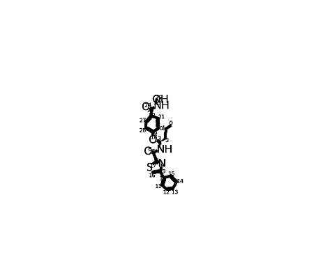 CCC[C@@H](NC(=O)c1nc(-c2ccccc2)cs1)Oc1ccc(C(=O)NO)cc1